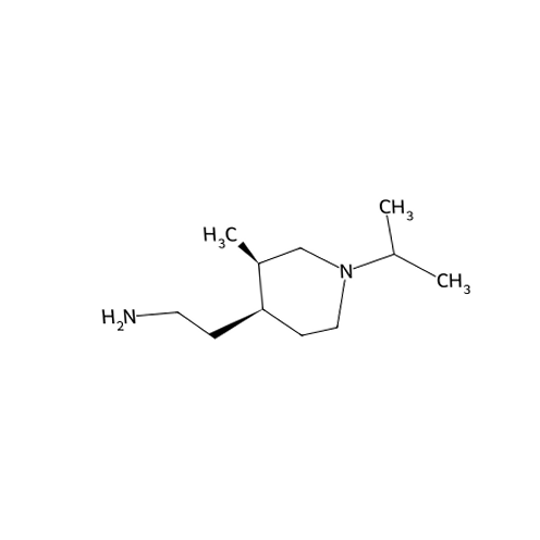 CC(C)N1CC[C@@H](CCN)[C@@H](C)C1